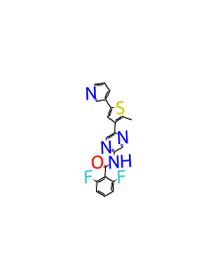 Cc1sc(-c2cccnc2)cc1-c1cnc(NC(=O)c2c(F)cccc2F)cn1